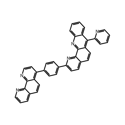 c1ccc(-c2c3ccccc3nc3c2ccc2ccc(-c4ccc(-c5ccnc6c5ccc5cccnc56)cc4)nc23)nc1